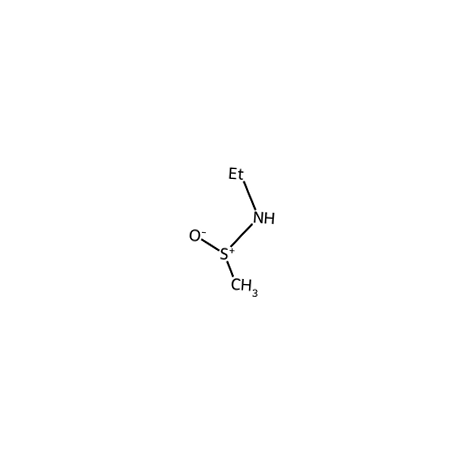 [CH2]CN[S+](C)[O-]